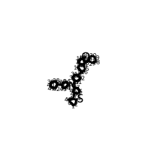 C1=CCC2Sc3ccc(N(c4ccc(C5=Cc6ccc7oc8c(c7c6CC5)C=CCC8)cc4)c4ccc(-c5ccccc5)cc4)cc3C2=C1